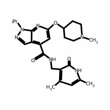 Cc1cc(C)c(CNC(=O)c2cc(OC3CCN(C)CC3)nc3c2cnn3C(C)C)c(=O)[nH]1